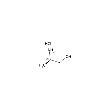 C[C@@H](N)CO.Cl